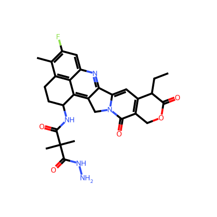 CCC1C(=O)OCc2c1cc1n(c2=O)Cc2c-1nc1cc(F)c(C)c3c1c2C(NC(=O)C(C)(C)C(=O)NN)CC3